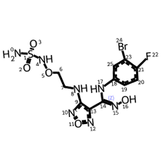 NS(=O)(=O)NOCCNc1nonc1/C(=N/O)Nc1ccc(F)c(Br)c1